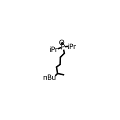 CCCCC(C)CCCCP(=O)(C(C)C)C(C)C